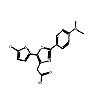 CN(C)c1ccc(-c2nc(CC(=O)O)c(-c3ccc(Cl)s3)o2)cc1